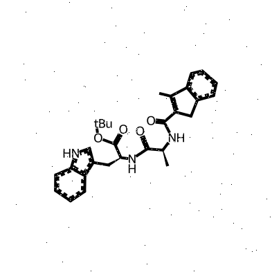 CC1=C(C(=O)N[C@@H](C)C(=O)N[C@@H](Cc2c[nH]c3ccccc23)C(=O)OC(C)(C)C)Cc2ccccc21